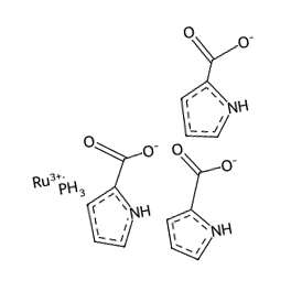 O=C([O-])c1ccc[nH]1.O=C([O-])c1ccc[nH]1.O=C([O-])c1ccc[nH]1.P.[Ru+3]